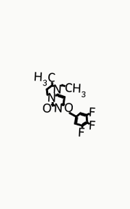 CCN1c2cc(OCc3cc(F)c(F)c(F)c3)nc(=O)n2CCC1C